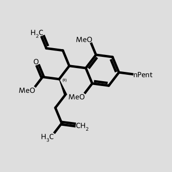 C=CCC(c1c(OC)cc(CCCCC)cc1OC)[C@@H](CCC(=C)C)C(=O)OC